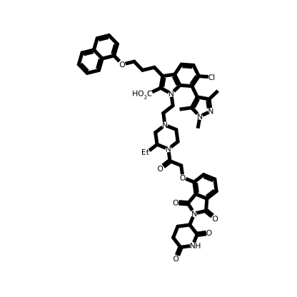 CCC1CN(CCn2c(C(=O)O)c(CCCOc3cccc4ccccc34)c3ccc(Cl)c(-c4c(C)nn(C)c4C)c32)CCN1C(=O)COc1cccc2c1C(=O)N(C1CCC(=O)NC1=O)C2=O